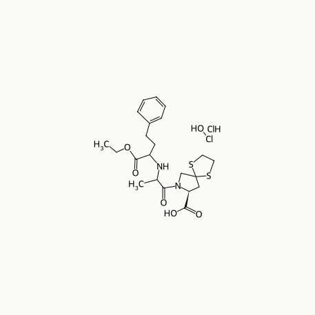 CCOC(=O)C(CCc1ccccc1)NC(C)C(=O)N1CC2(C[C@H]1C(=O)O)SCCS2.Cl.OCl